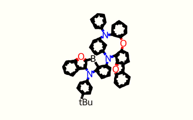 CC(C)(C)c1ccc(N2c3cccc4c3B(c3ccc5cc3N4c3c(ccc4c3oc3ccccc34)Oc3ccccc3N5c3ccccc3)c3oc4ccccc4c32)cc1